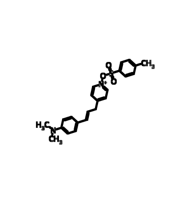 Cc1ccc(S(=O)(=O)O[n+]2ccc(CC=Cc3ccc(N(C)C)cc3)cc2)cc1